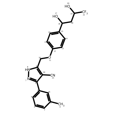 Cc1cccc(-c2n[nH]c(COc3ccc(C(O)CC(O)C(F)(F)F)cc3)c2C#N)c1